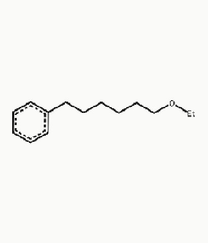 [CH2]COCCCCCCc1ccccc1